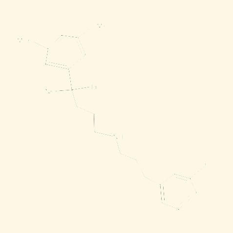 COc1cc(OC)cc(C(C#N)(CCCNCCCc2cccc(C(F)(F)F)c2)C(C)C)c1